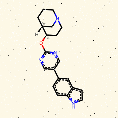 c1cc2cc(-c3cnc(O[C@@H]4CCN5CCC[C@@H]4C5)nc3)ccc2[nH]1